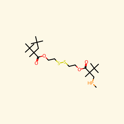 CPCC(C)(C(=O)OCCSSCCOC(=O)C(C)(CC(C)(C)C)C(C)(C)C)C(C)(C)C